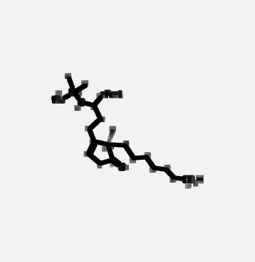 CCCCCC(CCC1=CCC(=O)[C@]1(C)CCCCCCC(=O)O)O[Si](C)(C)C(C)(C)C